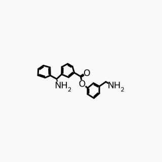 NCc1cccc(OC(=O)c2cccc([C@@H](N)c3ccccc3)c2)c1